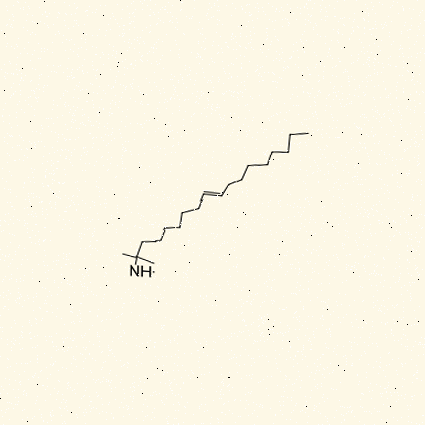 CCCCCCCC/C=C/CCCCCCC(C)(C)[NH]